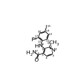 Cc1nccc(C(N)=O)c1Nc1ccc(I)cc1F